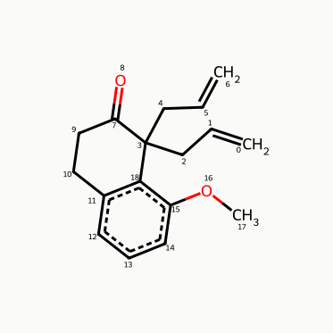 C=CCC1(CC=C)C(=O)CCc2cccc(OC)c21